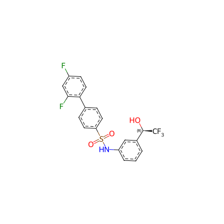 O=S(=O)(Nc1cccc([C@@H](O)C(F)(F)F)c1)c1ccc(-c2ccc(F)cc2F)cc1